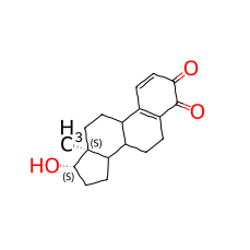 C[C@]12CCC3C4=C(CCC3C1CC[C@@H]2O)C(=O)C(=O)C=C4